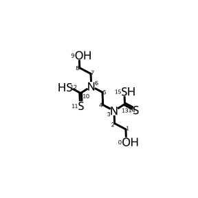 OCCN(CCN(CCO)C(=S)S)C(=S)S